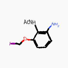 CC(=O)Nc1c(N)cccc1OCI